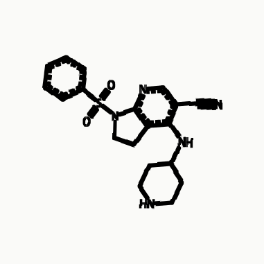 N#Cc1cnc2c(c1NC1CCNCC1)CCN2S(=O)(=O)c1ccccc1